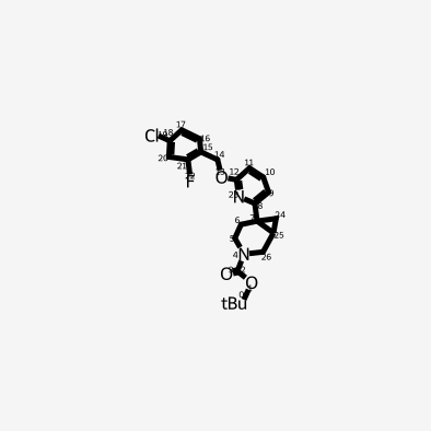 CC(C)(C)OC(=O)N1CCC2(c3cccc(OCc4ccc(Cl)cc4F)n3)CC2C1